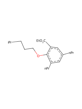 CCCc1cc(CCC)c(OCCCC(C)C)c(C(=O)OCC)c1